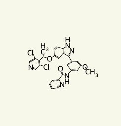 COc1cc(NC(=O)c2ccccn2)cc(-c2n[nH]c3ccc(O[C@H](C)c4c(Cl)cncc4Cl)cc23)c1